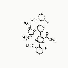 COc1cccc(F)c1-c1ncc(-c2ccc(-c3c(F)cccc3C#N)cc2N2C[C@@H](N)C[C@H]2CO)c(C(N)=O)n1